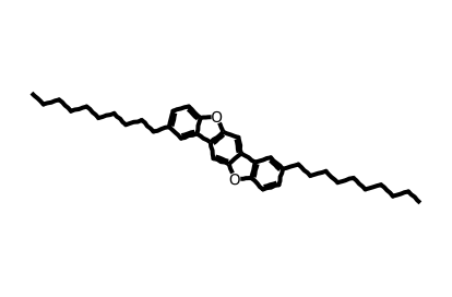 CCCCCCCCCCc1ccc2oc3cc4c(cc3c2c1)oc1ccc(CCCCCCCCCC)cc14